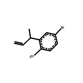 C=C[C](C)c1cc(Br)ccc1C(C)C